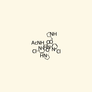 CC(=O)NC(C(=O)Nc1nc(Cl)ccc1OC[C@H]1CCCN1)c1nc(Cl)ccc1OC[C@@H]1CCCN1